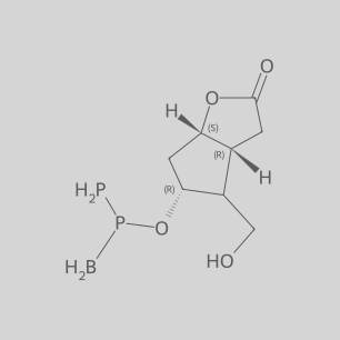 BP(P)O[C@@H]1C[C@@H]2OC(=O)C[C@@H]2C1CO